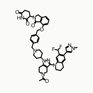 CC(=O)N1CCc2c(c(N3CCCc4cc(-c5cnn(C)c5)c(C(F)F)cc43)nn2C2CCN(Cc3ccc(COc4cccc5c4C(=O)N(C4CCC(=O)NC4=O)C5)cc3)CC2)C1